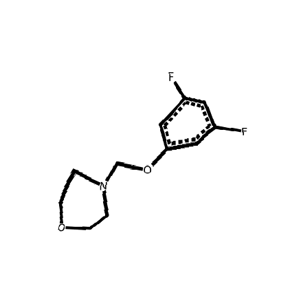 Fc1cc(F)cc(OCN2CCOCC2)c1